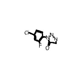 O=C1CN=NN1c1ccc(Cl)cc1F